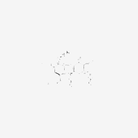 CC(=O)OCC1=CC(OC(C)=O)C(N=[N+]=[N-])[C@@H](O[C@@H]2C(N=[N+]=[N-])CC(N=[N+]=[N-])C(OC(C)=O)C2O)O1